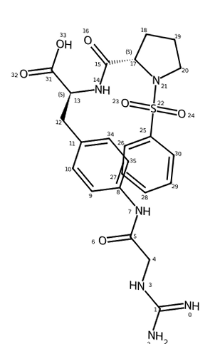 N=C(N)NCC(=O)Nc1ccc(C[C@H](NC(=O)[C@@H]2CCCN2S(=O)(=O)c2ccccc2)C(=O)O)cc1